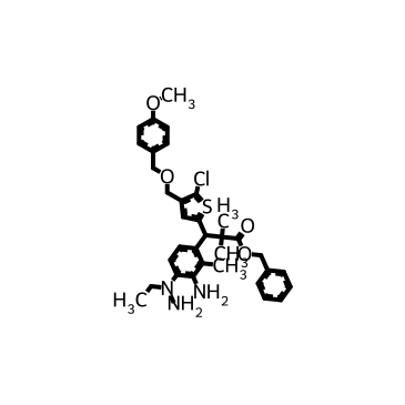 CCN(N)c1ccc(C(c2cc(COCc3ccc(OC)cc3)c(Cl)s2)C(C)(C)C(=O)OCc2ccccc2)c(C)c1N